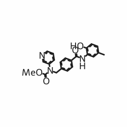 COC(=O)N(Cc1ccc(C(=O)Nc2cc(C)ccc2O)cc1)c1cccnc1